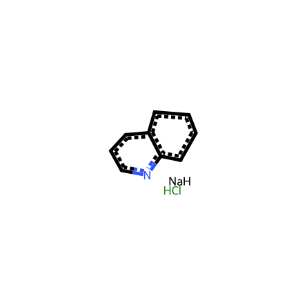 Cl.[NaH].c1ccc2ncccc2c1